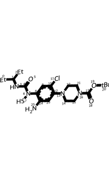 CCC(CC)NC(=O)N(S)c1cc(Cl)c(N2CCN(C(=O)OC(C)(C)C)CC2)cc1N